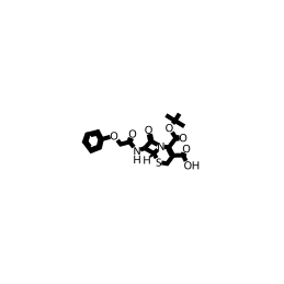 CC(C)(C)OC(=O)C1=C(C(=O)O)CS[C@@H]2C(NC(=O)COc3ccccc3)C(=O)N12